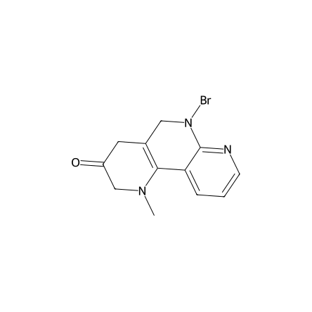 CN1CC(=O)CC2=C1c1cccnc1N(Br)C2